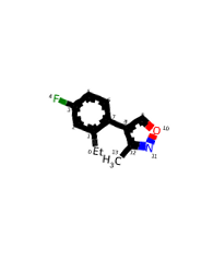 CCc1cc(F)ccc1-c1conc1C